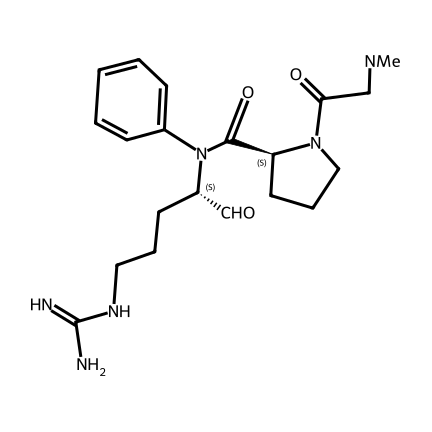 CNCC(=O)N1CCC[C@H]1C(=O)N(c1ccccc1)[C@H](C=O)CCCNC(=N)N